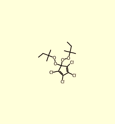 CCC(C)(C)OOC1(OOC(C)(C)CC)C(Cl)=C(Cl)C(Cl)=C1Cl